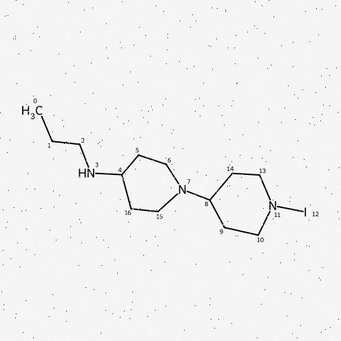 CCCNC1CCN(C2CCN(I)CC2)CC1